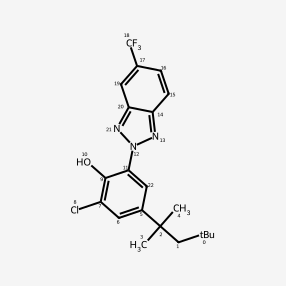 CC(C)(C)CC(C)(C)c1cc(Cl)c(O)c(-n2nc3ccc(C(F)(F)F)cc3n2)c1